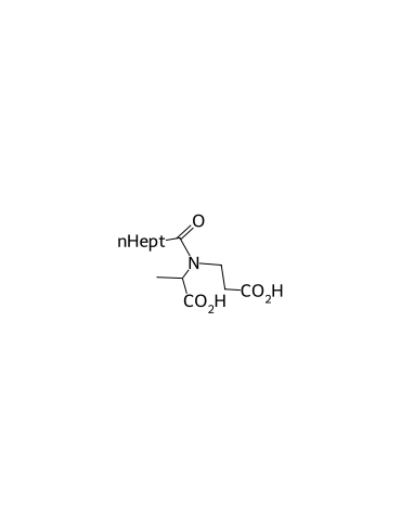 CCCCCCCC(=O)N(CCC(=O)O)C(C)C(=O)O